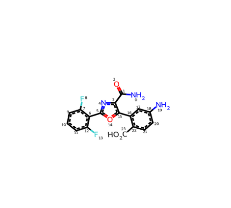 NC(=O)c1nc(-c2c(F)cccc2F)oc1-c1cc(N)ccc1C(=O)O